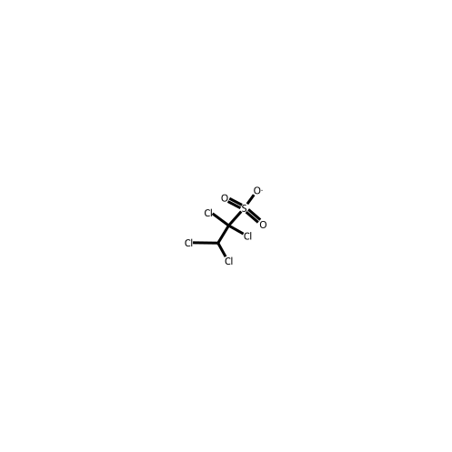 [O]S(=O)(=O)C(Cl)(Cl)C(Cl)Cl